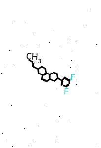 CCC=CC1CCc2c(ccc3c2CCC(c2cc(F)cc(F)c2)C3)C1